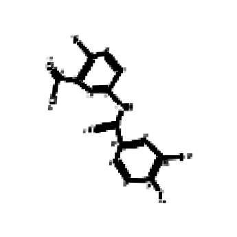 O=C(Nc1ccc(F)c(C(=O)Cl)c1)c1ccc(F)c(F)c1